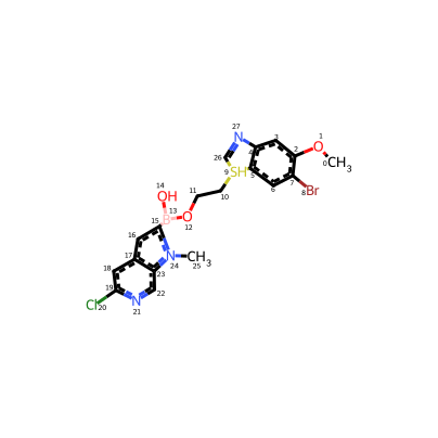 COc1cc2c(cc1Br)[SH](CCOB(O)c1cc3cc(Cl)ncc3n1C)C=N2